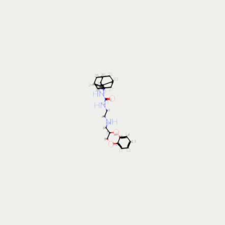 O=C(NCCNCC1COc2ccccc2O1)NC12CC3CC(CC(C3)C1)C2